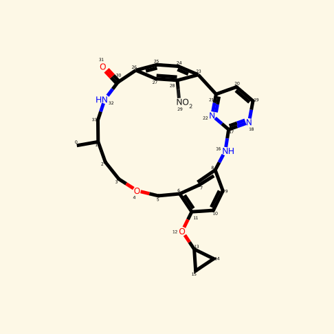 CC1CCOCc2cc(ccc2OC2CC2)Nc2nccc(n2)-c2ccc(cc2[N+](=O)[O-])C(=O)NC1